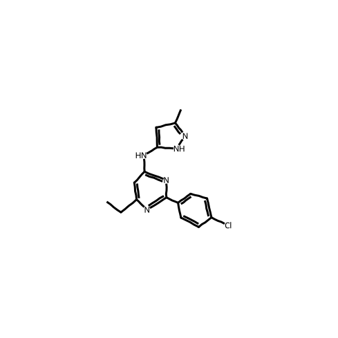 CCc1cc(Nc2cc(C)n[nH]2)nc(-c2ccc(Cl)cc2)n1